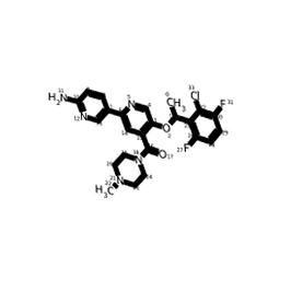 CC(Oc1cnc(-c2ccc(N)nc2)cc1C(=O)N1CCN(C)CC1)c1c(F)ccc(F)c1Cl